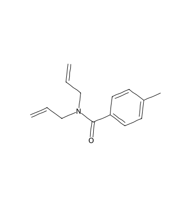 C=CCN(CC=C)C(=O)c1ccc(C)cc1